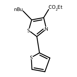 CCCCc1sc(-c2cccs2)nc1C(=O)OCC